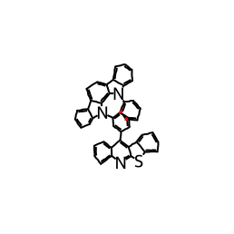 c1ccc(-n2c3ccccc3c3ccc4c5ccccc5n(-c5cccc(-c6c7ccccc7nc7sc8ccccc8c67)c5)c4c32)cc1